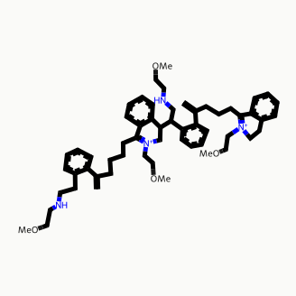 C=C(CCCCC1=[N+](CCOC)CC(C(CNCCOC)c2ccccc2C(=C)CCCC2=[N+](CCOC)CCc3ccccc32)c2ccccc21)c1ccccc1CCNCCOC